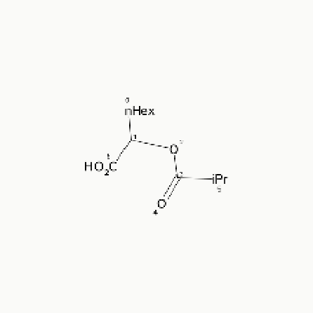 CCCCCCC(OC(=O)C(C)C)C(=O)O